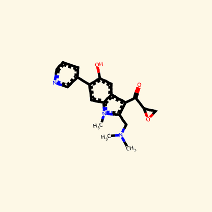 CN(C)Cc1c(C(=O)C2CO2)c2cc(O)c(-c3cccnc3)cc2n1C